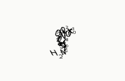 CC(C)(C)OC(=O)N1Cc2cc(CN)sc2CC1=O